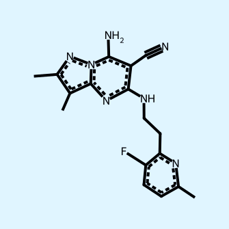 Cc1ccc(F)c(CCNc2nc3c(C)c(C)nn3c(N)c2C#N)n1